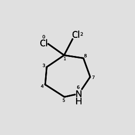 ClC1(Cl)CCCNCC1